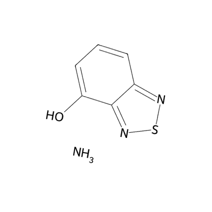 N.Oc1cccc2nsnc12